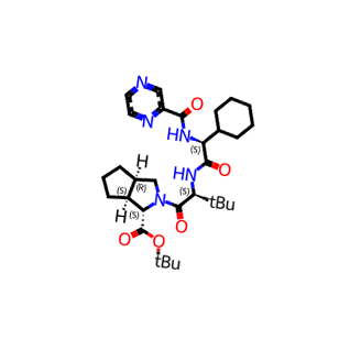 CC(C)(C)OC(=O)[C@@H]1[C@H]2CCC[C@H]2CN1C(=O)[C@@H](NC(=O)[C@@H](NC(=O)c1cnccn1)C1CCCCC1)C(C)(C)C